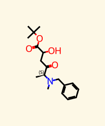 C[C@@H](C(=O)CC(O)C(=O)OC(C)(C)C)N(C)Cc1ccccc1